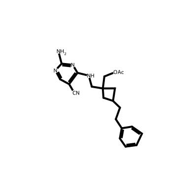 CC(=O)OCC1(CNc2nc(N)ncc2C#N)CC(CCc2ccccc2)C1